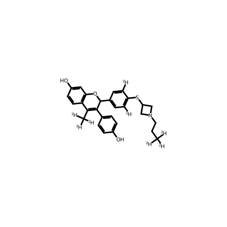 [2H]c1cc(C2Oc3cc(O)ccc3C(C([2H])([2H])[2H])=C2c2ccc(O)cc2)cc([2H])c1SC1CN(CCC([2H])([2H])[2H])C1